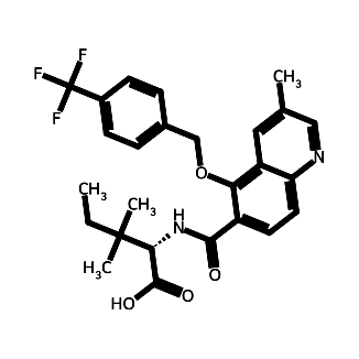 CCC(C)(C)[C@H](NC(=O)c1ccc2ncc(C)cc2c1OCc1ccc(C(F)(F)F)cc1)C(=O)O